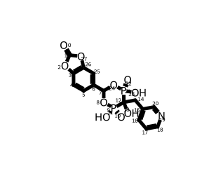 O=c1oc2ccc(C3OP(=O)(O)C(O)(Cc4cccnc4)P(=O)(O)O3)cc2o1